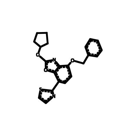 c1ccc(COc2ccc(-c3nccs3)c3oc(OC4CCCC4)nc23)cc1